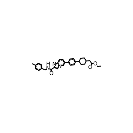 CCOC(=O)CC1CCC(c2ccc(-c3ccc4nc(C(=O)NCc5ccc(C)cc5)cn4c3)cc2)CC1